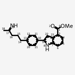 COC(=O)c1cccc2[nH]c(-c3ccc(CCCC(C)=N)cc3)cc12